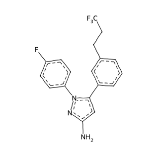 Nc1cc(-c2cccc(CCC(F)(F)F)c2)n(-c2ccc(F)cc2)n1